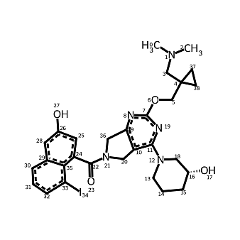 CN(C)CC1(COc2nc3c(c(N4CCC[C@@H](O)C4)n2)CN(C(=O)c2cc(O)cc4cccc(I)c24)C3)CC1